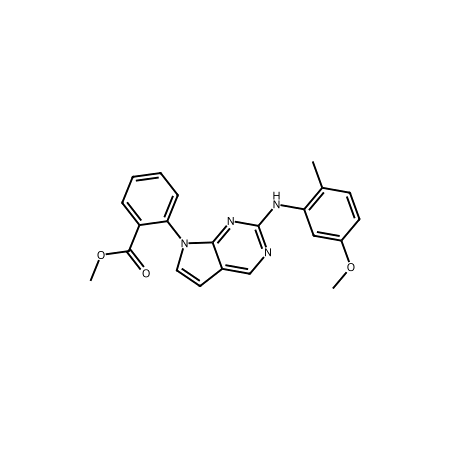 COC(=O)c1ccccc1-n1ccc2cnc(Nc3cc(OC)ccc3C)nc21